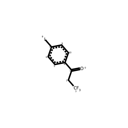 O=C(CC(F)(F)F)c1ccc(I)cc1